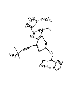 CCn1c(-c2nonc2N)nc2c(C#CC(C)(C)O)nc(OC(CN)c3cccnc3)cc21